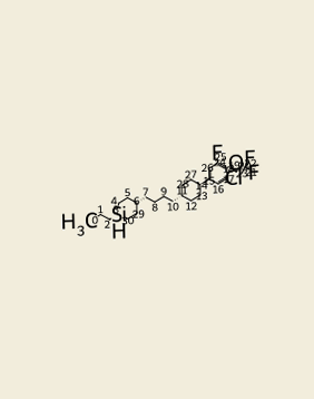 CCC[Si@H]1CC[C@H](CCCC[C@H]2CC[C@H](c3ccc(OC(F)(F)Cl)c(F)c3)CC2)CC1